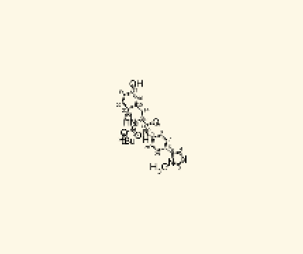 Cn1cncc1-c1ccc(NC(=O)[C@H](Cc2cc(O)ccc2Cl)NC(=O)OC(C)(C)C)cc1